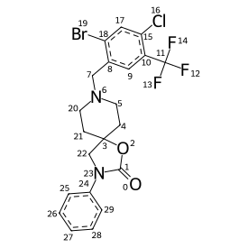 O=C1OC2(CCN(Cc3cc(C(F)(F)F)c(Cl)cc3Br)CC2)CN1c1ccccc1